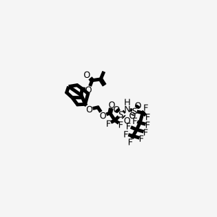 C=C(C)C(=O)OC12CC3CC(CC(OCOC(=O)C(F)(F)S(=O)(=O)NS(=O)(=O)C(F)(F)C(F)(F)C(F)(F)C(F)(F)F)(C3)C1)C2